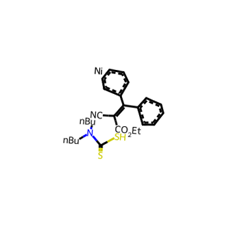 CCCCN(CCCC)C(=S)S.CCOC(=O)C(C#N)=C(c1ccccc1)c1ccccc1.[Ni]